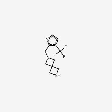 FC(F)(F)n1ccnc1CN1CC2(CNC2)C1